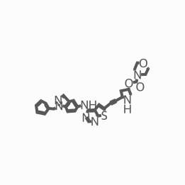 O=C(OC1CNC(C#Cc2cc3c(Nc4ccc5c(cnn5Cc5ccccc5)c4)ncnc3s2)C1)N1CCOCC1